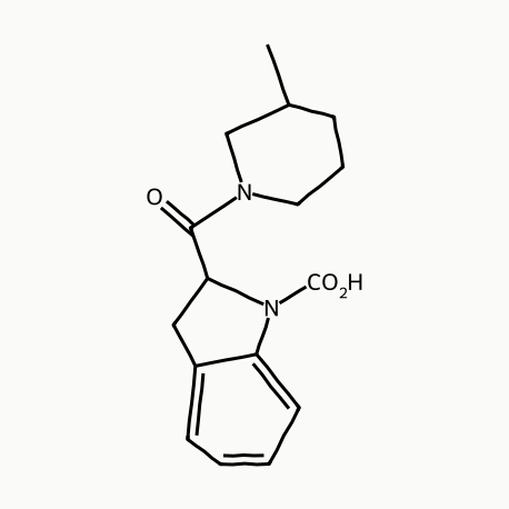 CC1CCCN(C(=O)C2Cc3ccccc3N2C(=O)O)C1